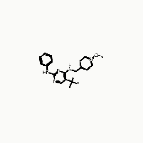 CN1CCC(CNc2nc(Nc3ccccc3)ncc2C(F)(F)F)CC1